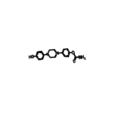 NC(=O)Oc1ccc(N2CCN(c3ccc(O)cc3)CC2)cc1